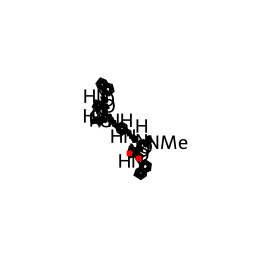 CN[C@@H](C)C(=O)N[C@@H](CCNCc1ccc(CNCC[C@H](NC(=O)[C@H](C)N(C)Cl)C(=O)N2CCC[C@H]2C(=O)N[C@@H]2CCCc3ccccc32)cc1)C(=O)N1CCC[C@H]1C(=O)N[C@@H]1CCCc2ccccc21